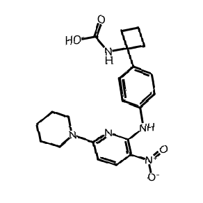 O=C(O)NC1(c2ccc(Nc3nc(N4CCCCC4)ccc3[N+](=O)[O-])cc2)CCC1